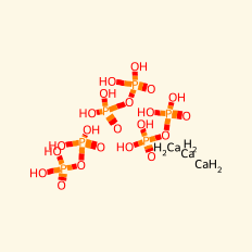 O=P(O)(O)OP(=O)(O)O.O=P(O)(O)OP(=O)(O)O.O=P(O)(O)OP(=O)(O)O.[CaH2].[CaH2].[CaH2]